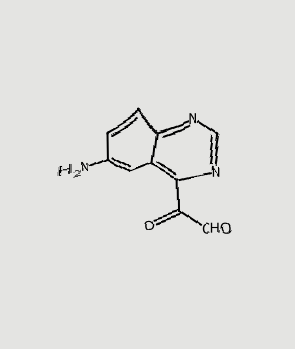 Nc1ccc2ncnc(C(=O)C=O)c2c1